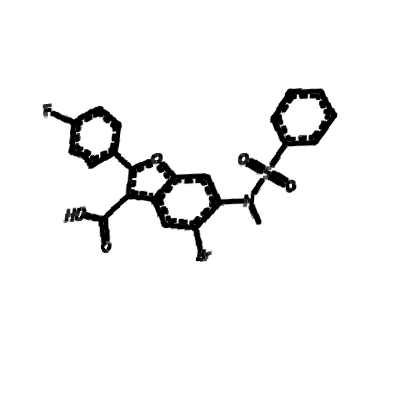 CN(c1cc2oc(-c3ccc(F)cc3)c(C(=O)O)c2cc1Br)S(=O)(=O)c1ccccc1